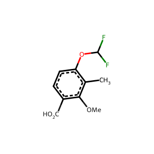 COc1c(C(=O)O)ccc(OC(F)F)c1C